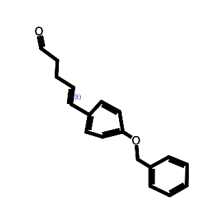 O=CCC/C=C/c1ccc(OCc2ccccc2)cc1